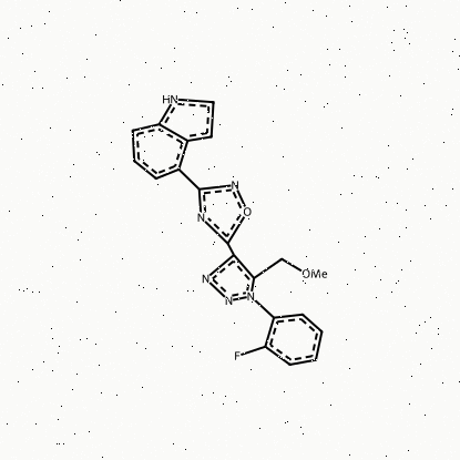 COCc1c(-c2nc(-c3cccc4[nH]ccc34)no2)nnn1-c1ccccc1F